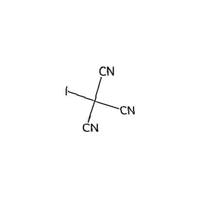 N#CC(I)(C#N)C#N